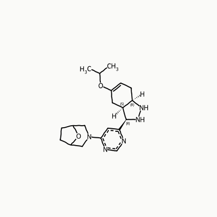 CC(C)OC1=CC[C@H]2NN[C@@H](c3cc(N4CC5CCC(C4)O5)ncn3)[C@H]2C1